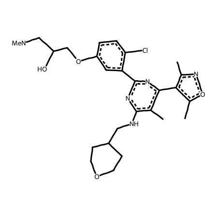 CNCC(O)COc1ccc(Cl)c(-c2nc(NCC3CCOCC3)c(C)c(-c3c(C)noc3C)n2)c1